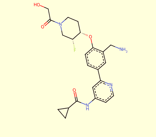 NCc1cc(-c2cc(NC(=O)C3CC3)ccn2)ccc1O[C@H]1CCN(C(=O)CO)C[C@H]1F